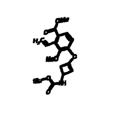 C=Cc1c(C(=O)OC)ccc(OC2CC(NC(=O)OC(C)(C)C)C2)c1OC